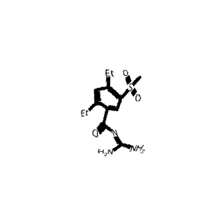 CCc1cc(CC)c(S(C)(=O)=O)cc1C(=O)N=C(N)N